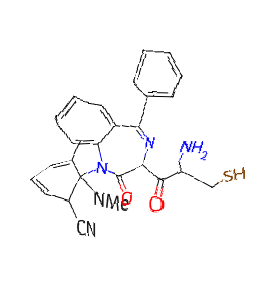 CNC1(N2C(=O)C(C(=O)C(N)CS)N=C(c3ccccc3)c3ccccc32)C(C)=CC=CC1C#N